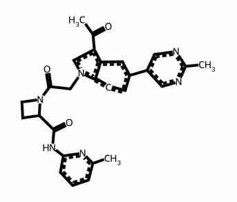 CC(=O)c1cn(CC(=O)N2CCC2C(=O)Nc2cccc(C)n2)c2ccc(-c3cnc(C)nc3)cc12